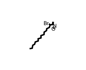 C=C(N=O)C(Br)CCCCCCCCCCCCCC